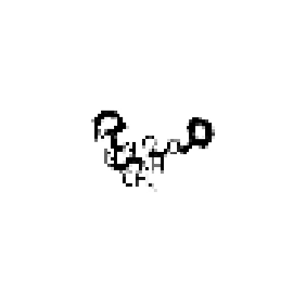 Cc1cnc(-c2ccccn2)nc1NC(=O)COCc1ccccc1